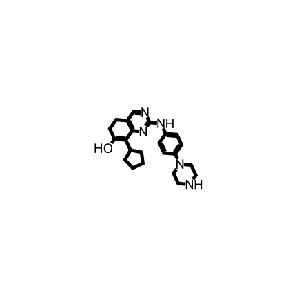 OC1=C(C2CCCC2)c2nc(Nc3ccc(N4CCNCC4)cc3)ncc2CC1